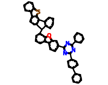 c1ccc(-c2ccc(-c3nc(-c4ccccc4)nc(-c4ccc5c(c4)oc4c(C6c7ccccc7-c7c6ccc6c7sc7ccccc76)cccc45)n3)cc2)cc1